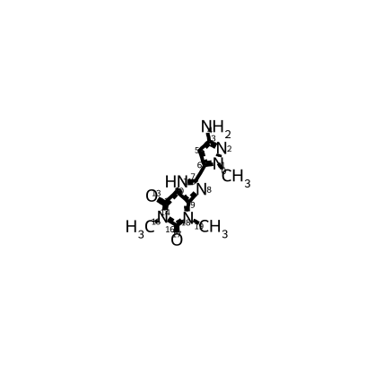 Cn1nc(N)cc1-c1nc2c([nH]1)c(=O)n(C)c(=O)n2C